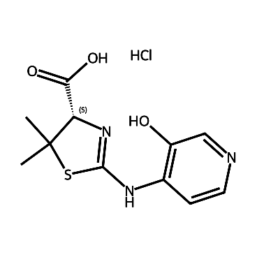 CC1(C)SC(Nc2ccncc2O)=N[C@H]1C(=O)O.Cl